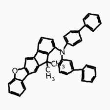 CC1(C)c2cc3c(cc2-c2cccc(N(c4ccc(-c5ccccc5)cc4)c4cccc(-c5ccccc5)c4)c21)oc1ccccc13